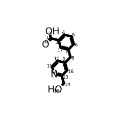 O=C(O)c1cccc(Cc2ccnc(CO)c2)c1